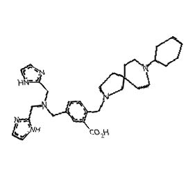 O=C(O)c1cc(CN(Cc2ncc[nH]2)Cc2ncc[nH]2)ccc1CN1CCC2(CCN(C3CCCCC3)CC2)C1